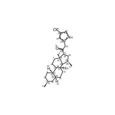 C[C@H]1CC[C@@H]2C3CC[C@@]4(C)C([C@@H]3CC[C@@H]2C1)[C@H](C)C[C@@H]4C(=O)Cn1cc(Cl)cn1